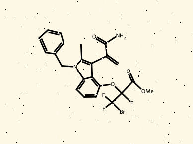 C=C(C(N)=O)c1c(C)n(Cc2ccccc2)c2cccc(OC(F)(C(=O)OC)C(F)(F)Br)c12